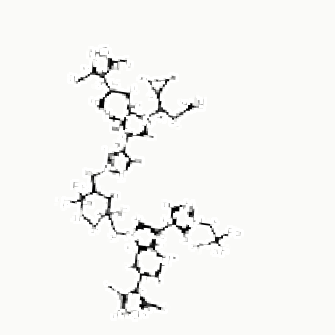 Cc1noc(C)c1-c1cnc2c(-c3cnn(CC(F)(F)F)c3)cn(CC3(F)CCC(F)(F)C(Cn4cc(-c5cn(C(CC#N)C6CC6)c6cc(-c7c(C)noc7C)cnc56)cn4)C3)c2c1